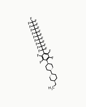 CC[C@H]1CC[C@H]([C@H]2CC[C@H](c3c(F)c(F)c(C(F)(F)C(F)(F)C(F)(F)C(F)(F)C(F)(F)C(F)(F)C(F)(F)C(F)(F)C(F)(F)F)c(F)c3F)CC2)CC1